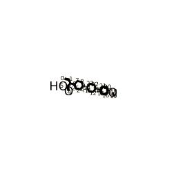 C=CC(C(=O)O)C1CCC([C@H]2CC[C@H](c3ccc(OC)cc3)CC2)CC1